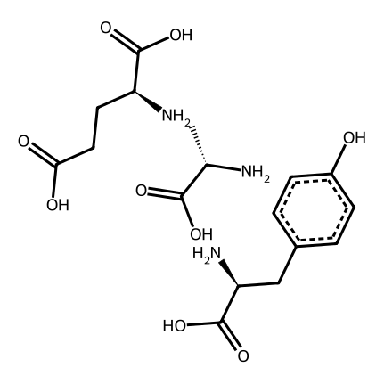 C[C@H](N)C(=O)O.N[C@@H](CCC(=O)O)C(=O)O.N[C@@H](Cc1ccc(O)cc1)C(=O)O